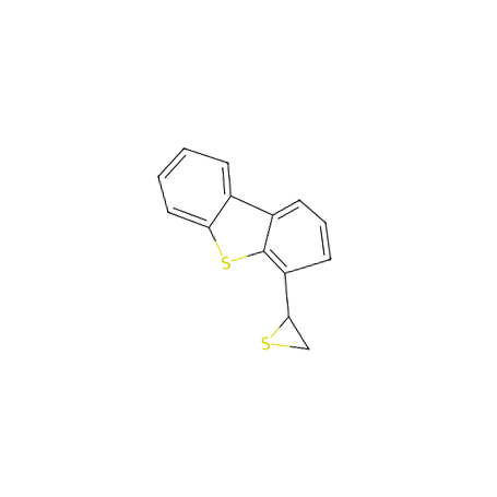 c1ccc2c(c1)sc1c(C3CS3)cccc12